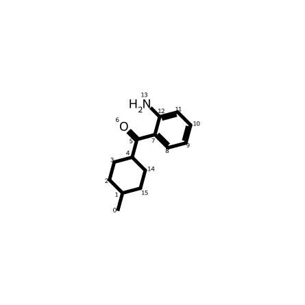 CC1CCC(C(=O)c2ccccc2N)CC1